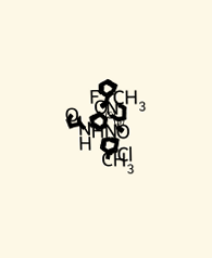 Cc1ccc(NC(=O)[C@H]2CCCN(C(=O)c3c(C)cccc3F)[C@H]2C2C=CC(NC3CCOC3)=CC2)cc1Cl